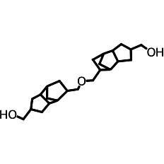 OCC1CC2C3CC(COCC4CC5CC4C4CC(CO)CC54)C(C3)C2C1